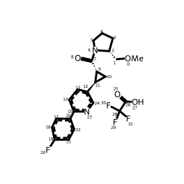 COC[C@H]1CCCN1C(=O)[C@@H]1C[C@H]1c1ccc(-c2ccc(F)cc2)nc1.O=C(O)C(F)(F)F